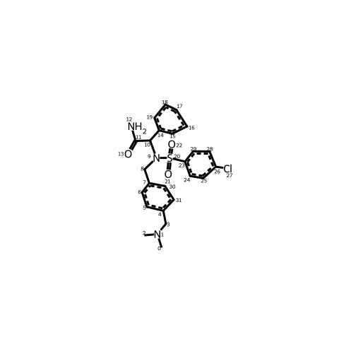 CN(C)Cc1ccc(CN(C(C(N)=O)c2ccccc2)S(=O)(=O)c2ccc(Cl)cc2)cc1